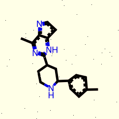 Cc1ccc(C2CC(c3nc(C)c4nccc-4[nH]3)CCN2)cc1